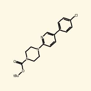 CC(C)(C)OC(=O)N1CCN(c2ccc(-c3ccc(Cl)cc3)cn2)CC1